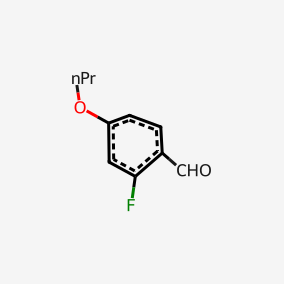 CCCOc1ccc(C=O)c(F)c1